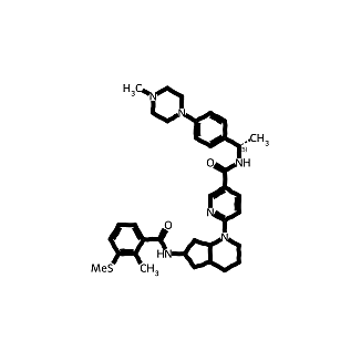 CSc1cccc(C(=O)NC2CC3CCCN(c4ccc(C(=O)N[C@@H](C)c5ccc(N6CCN(C)CC6)cc5)cn4)C3C2)c1C